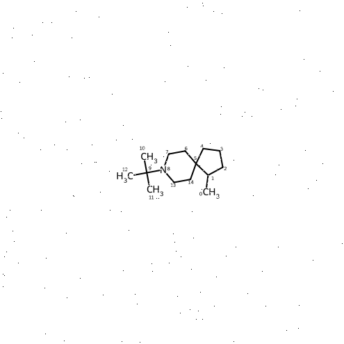 CC1CCCC12CCN(C(C)(C)C)CC2